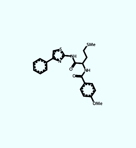 COc1ccc(C(=O)NC(CCSC)C(=O)Nc2nc(-c3ccccc3)cs2)cc1